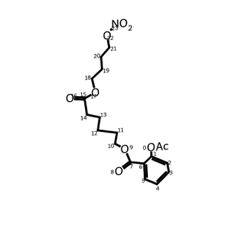 CC(=O)Oc1ccccc1C(=O)OCCCCCC(=O)OCCCCO[N+](=O)[O-]